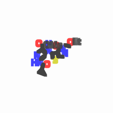 CCOCCn1ncc2scc(Nc3cc(NC(=O)C4CC4)ncc3C(=O)OC)c2c1=O